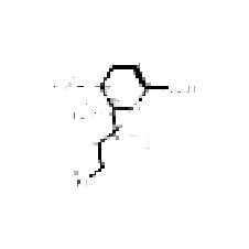 CC(=O)N[C@@H]1CC=C(C(=O)O)O[C@@]1(N)[C@H](O)CCO